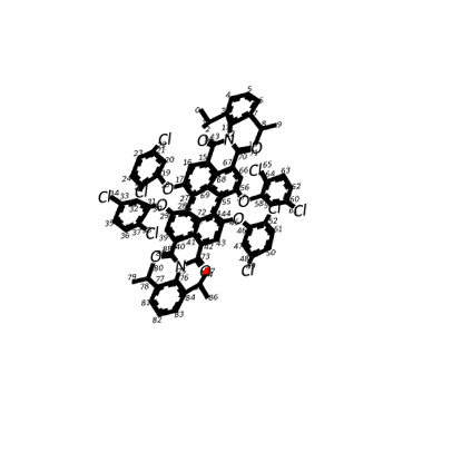 CC(C)c1cccc(C(C)C)c1N1C(=O)c2cc(Oc3cc(Cl)ccc3Cl)c3c4c(Oc5cc(Cl)ccc5Cl)cc5c6c(cc(Oc7cc(Cl)ccc7Cl)c(c7c(Oc8cc(Cl)ccc8Cl)cc(c2c37)C1=O)c64)C(=O)N(c1c(C(C)C)cccc1C(C)C)C5=O